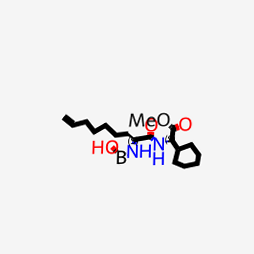 C=CCCCCC[C@H](NB(C)O)C(=O)N[C@H](C(=O)OC)C1CCCCC1